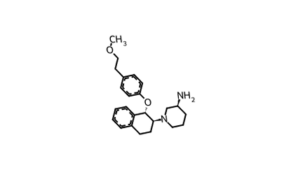 COCCc1ccc(O[C@H]2c3ccccc3CC[C@@H]2N2CCC[C@H](N)C2)cc1